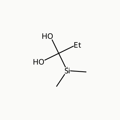 CCC(O)(O)[Si](C)C